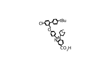 CC(C)(C)c1ccc(-c2ccc(Cl)cc2COc2ccc(-c3nc4cc(C(=O)O)ccc4n3C3CCCCC3)cc2)cc1